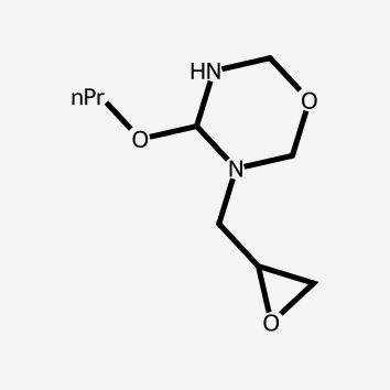 CCCOC1NCOCN1CC1CO1